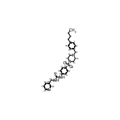 CCCCc1ccc(CN2CCN(S(=O)(=O)c3ccc(NC(=S)NCc4cccnc4)cc3)CC2)cc1